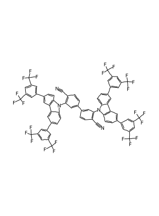 N#Cc1ccc(-c2ccc(C#N)c(-n3c4ccc(-c5cc(C(F)(F)F)cc(C(F)(F)F)c5)cc4c4cc(-c5cc(C(F)(F)F)cc(C(F)(F)F)c5)ccc43)c2)cc1-n1c2ccc(-c3cc(C(F)(F)F)cc(C(F)(F)F)c3)cc2c2cc(-c3cc(C(F)(F)F)cc(C(F)(F)F)c3)ccc21